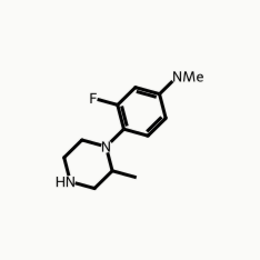 CNc1ccc(N2CCNCC2C)c(F)c1